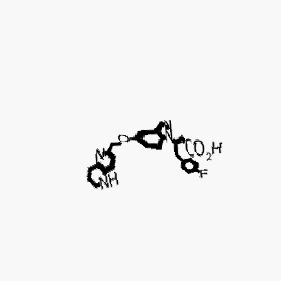 O=C(O)CC(Cc1ccc(F)cc1)n1ncc2cc(OCCc3ccc4c(n3)CCCN4)ccc21